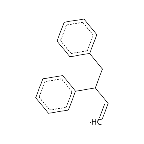 [CH]=CC(Cc1ccccc1)c1ccccc1